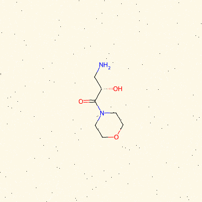 NC[C@H](O)C(=O)N1CCOCC1